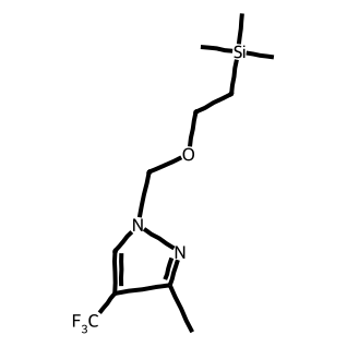 Cc1nn(COCC[Si](C)(C)C)cc1C(F)(F)F